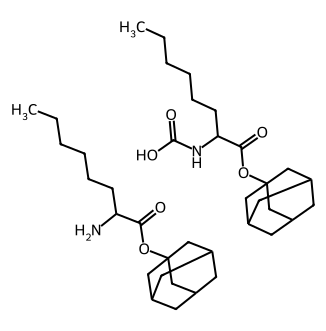 CCCCCCC(N)C(=O)OC12CC3CC(CC(C3)C1)C2.CCCCCCC(NC(=O)O)C(=O)OC12CC3CC(CC(C3)C1)C2